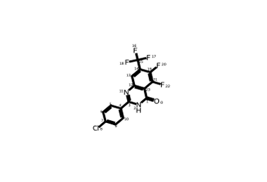 O=c1[nH]c(-c2ccc(Cl)cc2)nc2cc(C(F)(F)F)c(F)c(F)c12